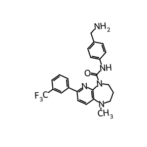 CN1CCCN(C(=O)Nc2ccc(CN)cc2)c2nc(-c3cccc(C(F)(F)F)c3)ccc21